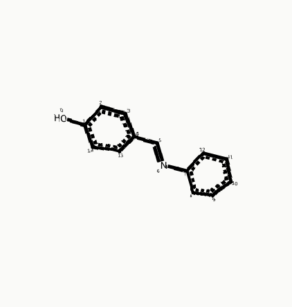 Oc1ccc(C=Nc2ccccc2)cc1